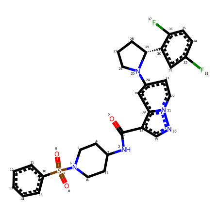 O=C(NC1CCN(S(=O)(=O)c2ccccc2)CC1)c1cnn2ccc(N3CCC[C@@H]3c3cc(F)ccc3F)cc12